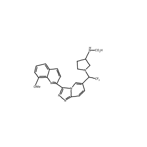 COc1cccc2ccc(-c3nnc4ccc(C(N5CCC(NC(=O)O)C5)C(F)(F)F)cn34)nc12